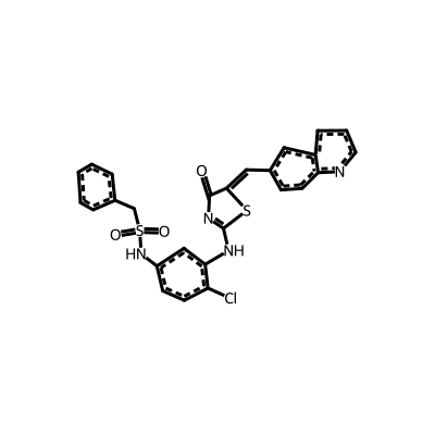 O=C1N=C(Nc2cc(NS(=O)(=O)Cc3ccccc3)ccc2Cl)S/C1=C\c1ccc2ncccc2c1